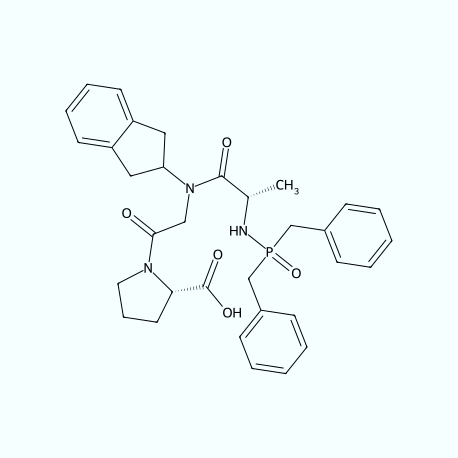 C[C@H](NP(=O)(Cc1ccccc1)Cc1ccccc1)C(=O)N(CC(=O)N1CCC[C@H]1C(=O)O)C1Cc2ccccc2C1